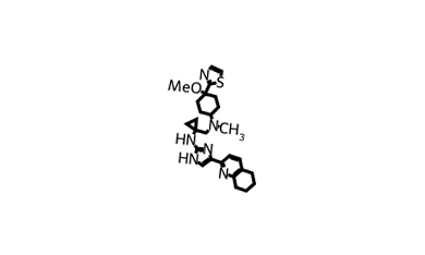 COC1(c2nccs2)CCC(N(C)CC2(Nc3nc(-c4ccc5c(n4)CCCC5)c[nH]3)CC2)CC1